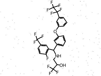 OC(CNC(c1cccc(Oc2cccc(C(F)(F)C(F)(F)F)c2)c1)c1cc(C(F)(F)F)ccc1F)C(F)(F)F